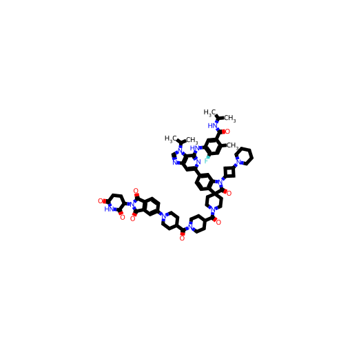 Cc1cc(F)c(Nc2nc(-c3ccc4c(c3)N(C3CC(N5CCCCC5)C3)C(=O)C43CCN(C(=O)C4CCN(C(=O)C5CCN(c6ccc7c(c6)C(=O)N(C6CCC(=O)NC6=O)C7=O)CC5)CC4)CC3)cc3ncn(C(C)C)c23)cc1C(=O)NC(C)C